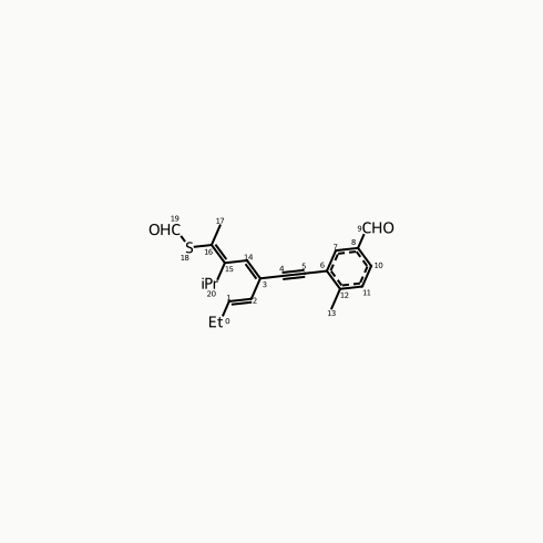 CC/C=C/C(C#Cc1cc(C=O)ccc1C)=C\C(=C(/C)SC=O)C(C)C